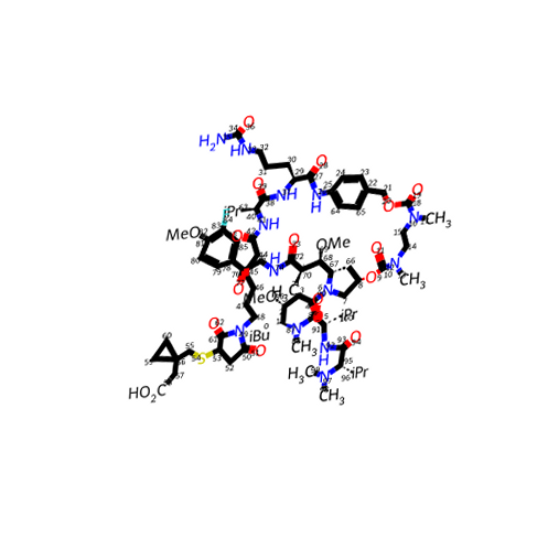 CC[C@H](C)[C@@H]([C@@H](CC(=O)N1C[C@@H](OC(=O)N(C)CCN(C)C(=O)OCc2ccc(NC(=O)[C@H](CCCNC(N)=O)NC(=O)[C@@H](NC(=O)CCCCCN3C(=O)CC(SCC4(CC(=O)O)CC4)C3=O)C(C)C)cc2)C[C@H]1[C@H](OC)[C@@H](C)C(=O)NCC(=O)c1ccc(OC)c(F)c1)OC)N(C)C(=O)[C@@H](NC(=O)[C@H](C(C)C)N(C)C)C(C)C